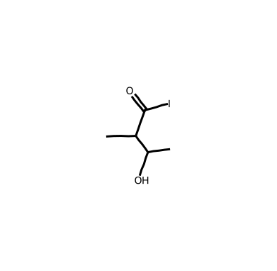 CC(O)C(C)C(=O)I